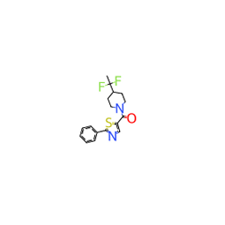 CC(F)(F)C1CCN(C(=O)c2cnc(-c3ccccc3)s2)CC1